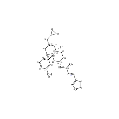 O=C(/C=C/c1ccoc1)N[C@H]1CC[C@@H]2CN(CC3CC3)CC[C@@]2(c2cccc(O)c2)C1